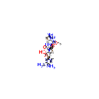 CCO/N=C(\C(=O)NC1C(=O)N2C(C(=O)O)=C(CSC3=NC(N)=C(N)CN3C)CS[C@@H]12)c1csc(N)n1